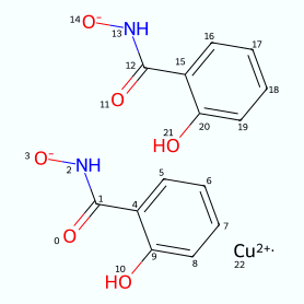 O=C(N[O-])c1ccccc1O.O=C(N[O-])c1ccccc1O.[Cu+2]